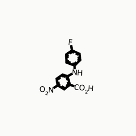 O=C(O)c1cc([N+](=O)[O-])ccc1Nc1ccc(F)cc1